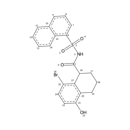 O=C(NS(=O)(=O)c1cccc2ccccc12)C1CCCc2c(O)ccc(Br)c21